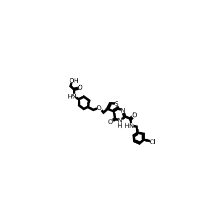 O=C(CO)NC1CCC(COCc2csc3nc(C(=O)NCc4cccc(Cl)c4)[nH]c(=O)c23)CC1